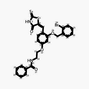 O=C1NC(=S)SC1=Cc1ccc(OCCNC(=O)c2ccccc2)cc1OCc1ccccc1Br